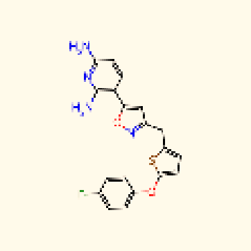 Nc1ccc(-c2cc(Cc3ccc(Oc4ccc(F)cc4)s3)no2)c(N)n1